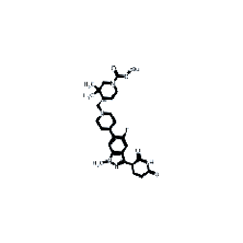 Cn1nc(C2CCC(=O)NC2=O)c2cc(F)c(C3CCN(C[C@@H]4CCN(C(=O)OC(C)(C)C)CC4(C)C)CC3)cc21